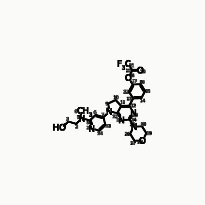 CN(CCO)c1cc(N2CCc3c(-c4cccc(OC(=O)C(F)(F)F)c4)nc(N4CCOCC4)nc32)ccn1